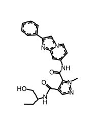 CCC(CO)NC(=O)c1cnn(C)c1C(=O)Nc1ccn2cc(-c3ccccc3)nc2c1